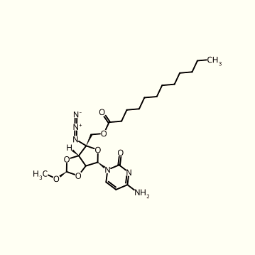 CCCCCCCCCCCC(=O)OC[C@@]1(N=[N+]=[N-])O[C@@H](n2ccc(N)nc2=O)C2O[C@@H](OC)O[C@@H]21